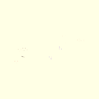 COC(=O)[C@H]1C[C@H](CN2CCN(C(=O)OC(C)(C)C)CC2)C1